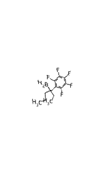 B[C@@](CC)(CCC)c1c(F)c(F)c(F)c(F)c1F